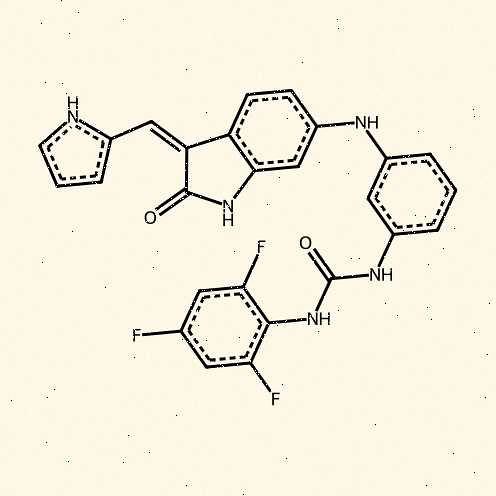 O=C(Nc1cccc(Nc2ccc3c(c2)NC(=O)C3=Cc2ccc[nH]2)c1)Nc1c(F)cc(F)cc1F